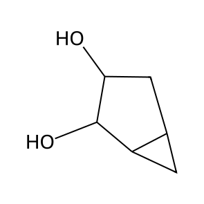 OC1CC2CC2C1O